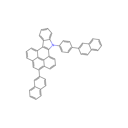 c1ccc2cc(-c3ccc(-n4c5ccccc5c5c6cccc7cc(-c8ccc9ccccc9c8)c8cccc(c8c76)c54)cc3)ccc2c1